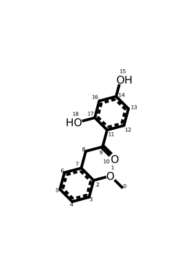 COc1ccccc1CC(=O)c1ccc(O)cc1O